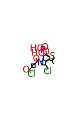 Cc1csc2c(OP(=O)(O)O)cc3c(c12)C(CCl)CN3C(=O)C12CC(C(=O)Cl)(C1)C2